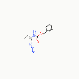 CC[C@@H](CN=[N+]=[N-])NC(=O)OCc1ccccc1